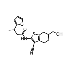 CC(CC(=O)Nc1sc2c(c1C#N)CCC(CO)C2)c1ccco1